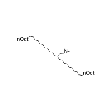 CCCCCCCC/C=C\CCCCCCCCCC(CCCCCCCC/C=C\CCCCCCCC)CCN(C)C